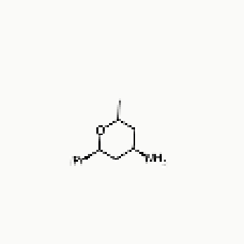 CC1C[C@@H](N)C[C@@H](C(C)C)O1